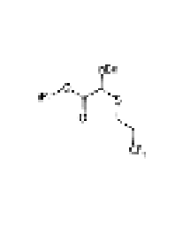 CCCCC(SCCC(F)(F)F)C(=O)OC(C)C